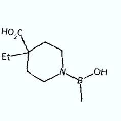 CCC1(C(=O)O)CCN(B(C)O)CC1